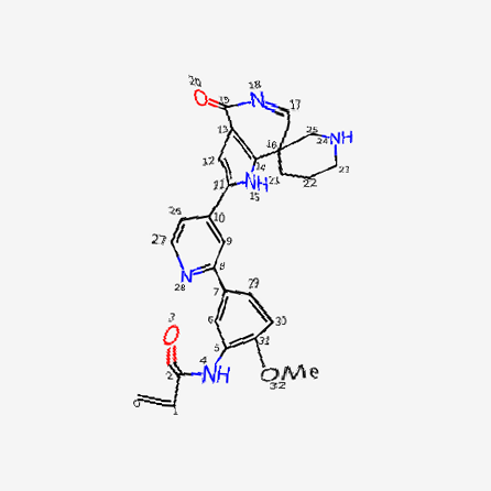 C=CC(=O)Nc1cc(-c2cc(-c3cc4c([nH]3)C3(C=NC4=O)CCCNC3)ccn2)ccc1OC